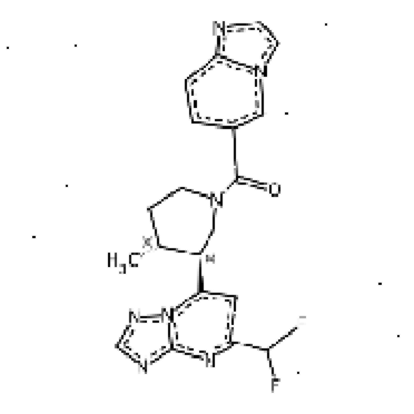 C[C@@H]1CCN(C(=O)c2ccc3nccn3c2)C[C@H]1c1cc(C(F)F)nc2ncnn12